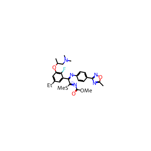 CCc1cc(OC(C)CN(C)C)c(F)c(C(=Nc2ccc(-c3noc(C)n3)cc2)/C(=N/C(=O)OC)SC)c1